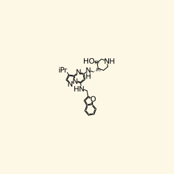 CC(C)c1cnn2c(NCc3cc4ccccc4o3)cc(NC[C@H]3CCNC[C@@H]3O)nc12